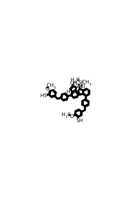 COc1ccc(Cc2ccc(-c3cccc4c3C=C(C)[CH]4[Zr]([Cl])([Cl])([CH]3C(C)=Cc4c(-c5ccc(Cc6ccc(OC)c(S)c6)cc5)cccc43)[SiH](C)C)cc2)cc1S